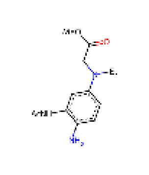 CCN(CC(=O)OC)c1ccc(N)c(NC(C)=O)c1